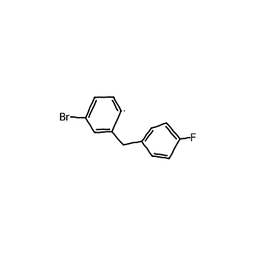 Fc1ccc(Cc2[c]ccc(Br)c2)cc1